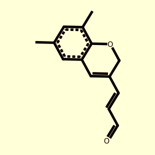 Cc1cc(C)c2c(c1)C=C(C=CC=O)CO2